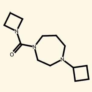 O=C(N1C[CH]C1)N1CCCN(C2CCC2)CC1